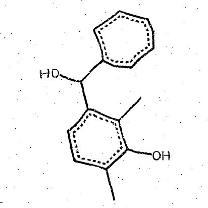 Cc1ccc(C(O)c2ccccc2)c(C)c1O